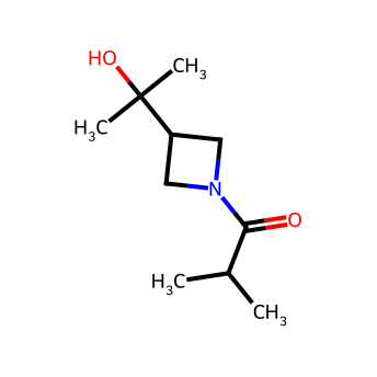 CC(C)C(=O)N1CC(C(C)(C)O)C1